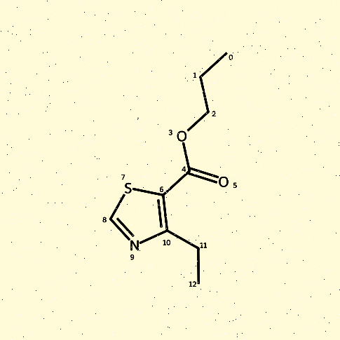 CCCOC(=O)c1scnc1CC